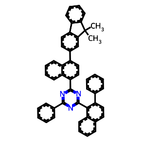 CC1(C)c2ccccc2-c2ccc(-c3ccc(-c4nc(-c5ccccc5)nc(-c5c(-c6ccccc6)ccc6ccccc56)n4)c4ccccc34)cc21